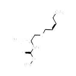 CC(=O)OC/C=C\CSC[C@H](NC(=O)OC(C)(C)C)C(=O)O